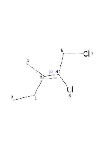 CC/C(C)=C(\Cl)CCl